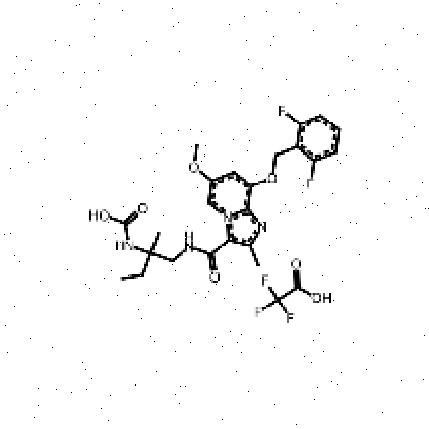 CCC(C)(CNC(=O)c1c(C)nc2c(OCc3c(F)cccc3F)cc(OC)cn12)NC(=O)O.O=C(O)C(F)(F)F